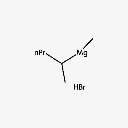 Br.CCC[CH](C)[Mg][CH3]